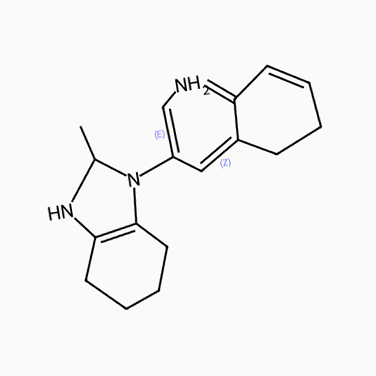 C=C1C=CCC/C1=C/C(=C\N)N1C2=C(CCCC2)NC1C